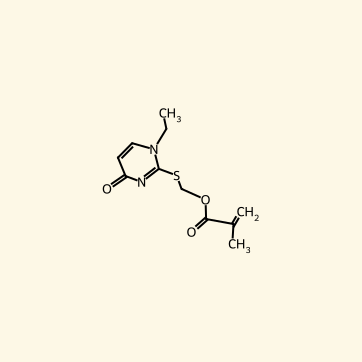 C=C(C)C(=O)OCSc1nc(=O)ccn1CC